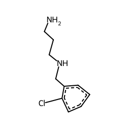 NCCCNCc1ccccc1Cl